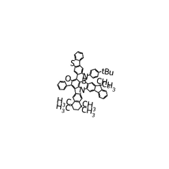 CC(C)(C)c1ccc(N2B3c4cc5c(cc4-n4c6cc7c(cc6c6c8c(oc9ccccc98)c(c3c64)-c3cc4sc6ccccc6c4cc32)C(C)(C)CCC7(C)C)-c2ccccc2C5(C)C)cc1